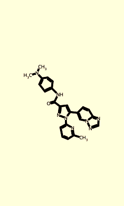 Cc1cccc(-n2nc(C(=O)Nc3ccc(N(C)C)cc3)cc2-c2ccc3ncnn3c2)n1